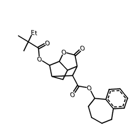 CCC(C)(C)C(=O)OC1C2CC3C1OC(=O)C3C2C(=O)OC1CCCCc2ccccc21